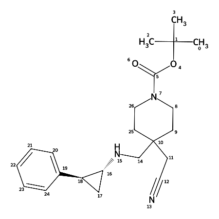 CC(C)(C)OC(=O)N1CCC(CC#N)(CN[C@@H]2C[C@H]2c2ccccc2)CC1